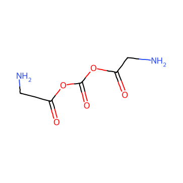 NCC(=O)OC(=O)OC(=O)CN